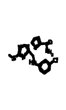 CSc1ncnc(CNc2cccc(Cl)c2)n1.NC(=O)c1cccs1